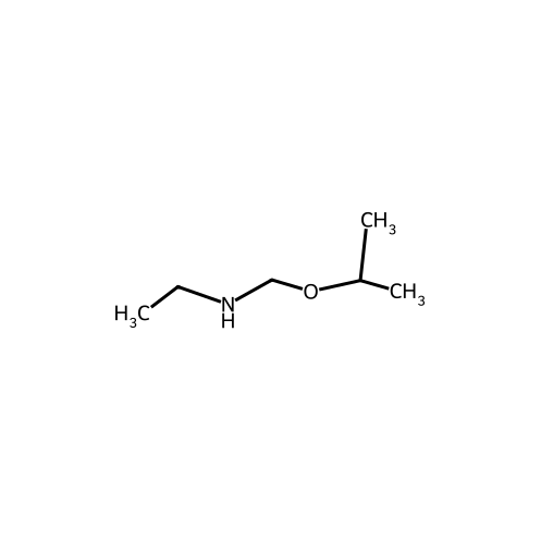 CCNCOC(C)C